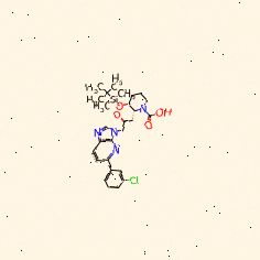 CC(C)(C)[Si](C)(C)O[C@H]1CCCN(C(=O)O)[C@@H]1CC(=O)Cn1cnc2ccc(-c3cccc(Cl)c3)nc21